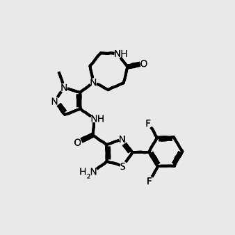 Cn1ncc(NC(=O)c2nc(-c3c(F)cccc3F)sc2N)c1N1CCNC(=O)CC1